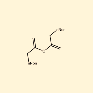 C=C(CCCCCCCCCC)OC(=C)CCCCCCCCCC